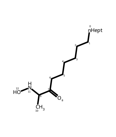 CCCCCCCCCCCCCC(=O)C(C)NO